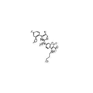 COCCCNc1c(C(C)=O)c(=O)oc2cc(Nc3ncc(F)c(-c4ccc(F)cc4OC)n3)ccc12